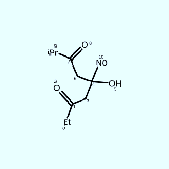 CCC(=O)CC(O)(CC(=O)C(C)C)N=O